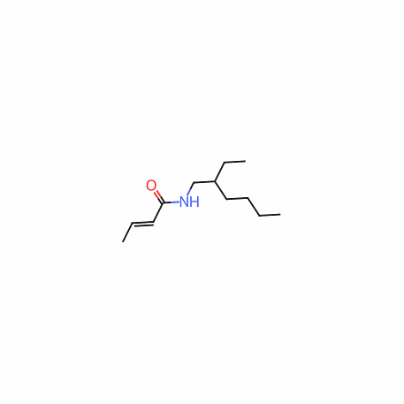 C/C=C/C(=O)NCC(CC)CCCC